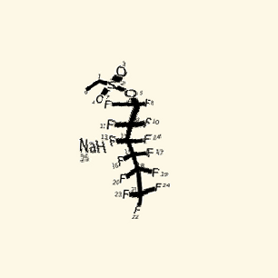 CCS(=O)(=O)OC(F)(F)C(F)(F)C(F)(F)C(F)(F)C(F)(F)C(F)(F)F.[NaH]